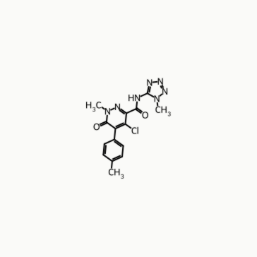 Cc1ccc(-c2c(Cl)c(C(=O)Nc3nnnn3C)nn(C)c2=O)cc1